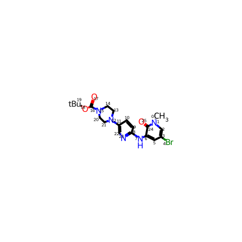 Cn1cc(Br)cc(Nc2ccc(N3CCN(C(=O)OC(C)(C)C)CC3)cn2)c1=O